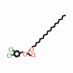 CCCCCCCCCCCCCCCCCCOC[C@H](COC)OCc1ccc(Cl)c(Cl)c1